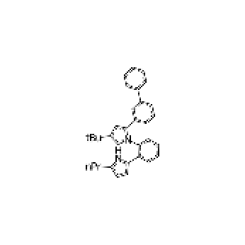 CCCc1ccc(-c2ccccc2-n2cc(C(C)(C)C)cc2-c2cccc(-c3ccccc3)c2)[nH]1